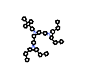 C1=C(c2cccc(-c3ccccc3)c2)CC2C(=C1)N(c1ccc(-c3ccc4c(c3)c3cc(-c5ccc(-n6c7ccc(-c8cccc(-c9ccccc9)c8)cc7c7cc(-c8cccc(-c9ccccc9)c8)ccc76)cc5)ccc3n4-c3ccc(-c4c5ccccc5c(-c5ccccc5)c5ccccc45)cc3)cc1)c1ccc(-c3cccc(-c4ccccc4)c3)cc12